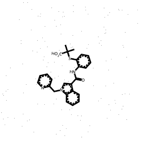 CC(C)(Sc1ccccc1NC(=O)c1cn(Cc2ccccn2)c2ccccc12)C(=O)O